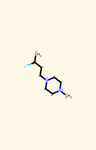 CC(F)CCN1CCN(C)CC1